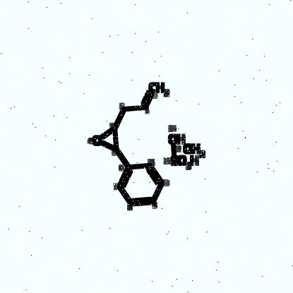 C=CCC1OC1c1ccccc1.O.O=S(=O)(O)O